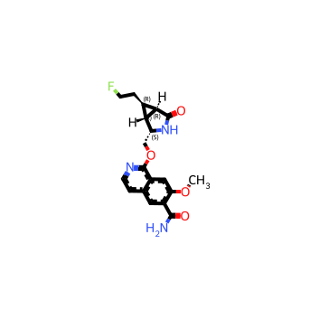 COc1cc2c(OC[C@H]3NC(=O)[C@@H]4[C@H](CCF)[C@H]43)nccc2cc1C(N)=O